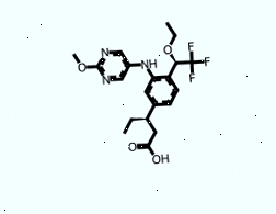 CCO[C@H](c1ccc([C@H](CC)CC(=O)O)cc1Nc1cnc(OC)nc1)C(F)(F)F